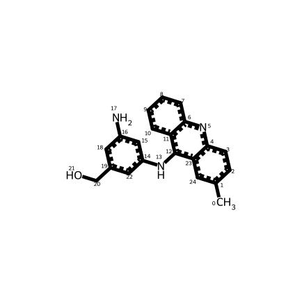 Cc1ccc2nc3ccccc3c(Nc3cc(N)cc(CO)c3)c2c1